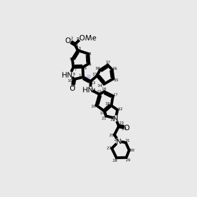 COC(=O)c1ccc2c(c1)NC(=O)/C2=C(\Nc1ccc2c(c1)CN(C(=O)CN1CCCCC1)C2)c1ccccc1